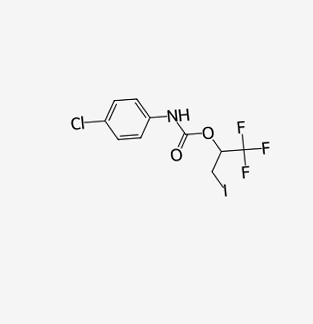 O=C(Nc1ccc(Cl)cc1)OC(CI)C(F)(F)F